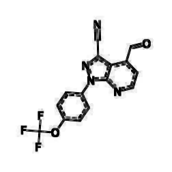 N#Cc1nn(-c2ccc(OC(F)(F)F)cc2)c2nccc(C=O)c12